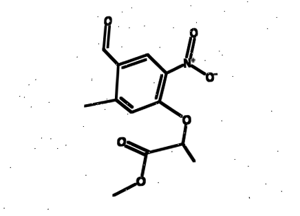 COC(=O)C(C)Oc1cc(C)c(C=O)cc1[N+](=O)[O-]